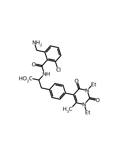 CCn1c(C)c(-c2ccc(CC(NC(=O)c3c(Cl)cccc3CN)C(=O)O)cc2)c(=O)n(CC)c1=O